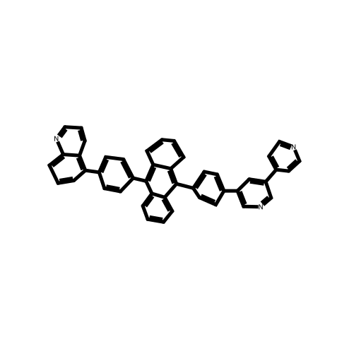 c1cc(-c2ccc(-c3c4ccccc4c(-c4ccc(-c5cncc(-c6ccncc6)c5)cc4)c4ccccc34)cc2)c2cccnc2c1